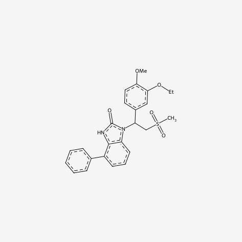 CCOc1cc(C(CS(C)(=O)=O)n2c(=O)[nH]c3c(-c4ccccc4)cccc32)ccc1OC